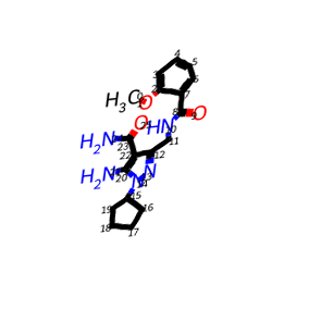 COc1ccccc1C(=O)NCc1nn(C2CCCC2)c(N)c1C(N)=O